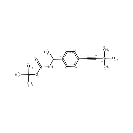 CC(NC(=O)OC(C)(C)C)c1ccc(C#C[Si](C)(C)C)cc1